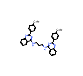 COc1ccc(-c2nc(NCCCNc3nc(-c4ccc(OC)cc4)nc4ccccc34)c3ccccc3n2)cc1